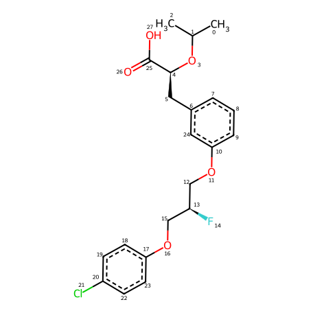 CC(C)O[C@@H](Cc1cccc(OC[C@@H](F)COc2ccc(Cl)cc2)c1)C(=O)O